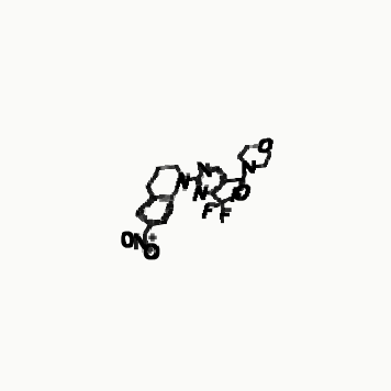 O=C(c1cnc(N2CCCc3cc([N+](=O)[O-])ccc32)nc1C(F)(F)F)N1CCOCC1